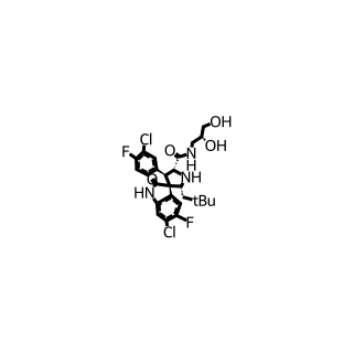 CC(C)(C)C[C@H]1N[C@@H](C(=O)NC[C@@H](O)CO)[C@H](c2ccc(F)c(Cl)c2)[C@@]12C(=O)Nc1cc(Cl)c(F)cc12